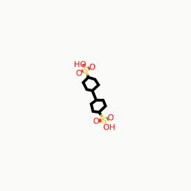 O=S(=O)(O)C1CCC(C2CCC(S(=O)(=O)O)CC2)CC1